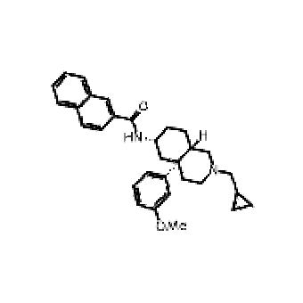 COc1cccc([C@@]23CCN(CC4CC4)C[C@H]2CC[C@@H](NC(=O)c2ccc4ccccc4c2)C3)c1